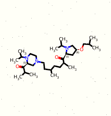 CC(C)CO[C@@H]1C[C@@H](C(=O)C(C)CCC(C)CCN2CCN(C(C)C)[C@H](C(=O)C(C)C)C2)N(C(C)C)C1